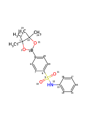 CC1(C)OB(c2ccc(S(=O)(=O)Nc3ccccc3)cc2)OC1(C)C